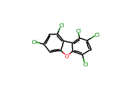 Clc1cc(Cl)c2c(c1)oc1c(Cl)cc(Cl)c(Cl)c12